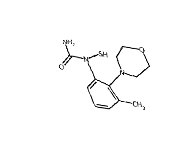 Cc1cccc(N(S)C(N)=O)c1N1CCOCC1